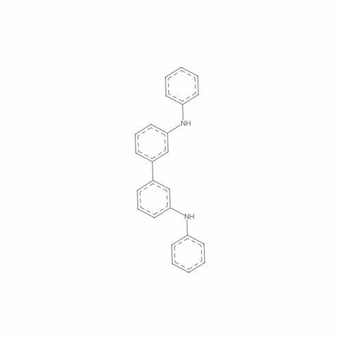 c1ccc(Nc2cccc(-c3cccc(Nc4ccccc4)c3)c2)cc1